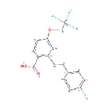 O=C(O)c1ccc(OCC(F)(F)F)nc1CCc1ccc(F)cc1